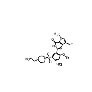 CCCc1cn(C)c2c(=O)[nH]c(-c3cc(S(=O)(=O)N4CCN(CCO)CC4)ccc3OCC)nc12.Cl